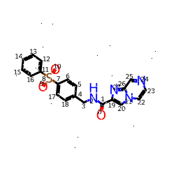 O=C(NCc1ccc(S(=O)(=O)c2ccccc2)cc1)c1cn2ccncc2n1